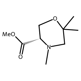 COC(=O)[C@@H]1COC(C)(C)CN1C